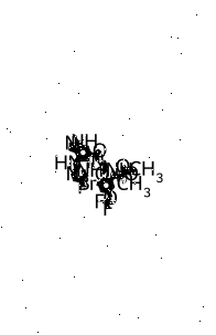 COC(=O)[C@H](C)[C@H](NC(=O)CNC(=O)c1cc(NC2=NCC(F)CN2)c2cn[nH]c2c1)c1cc(Br)cc(OC(F)F)c1